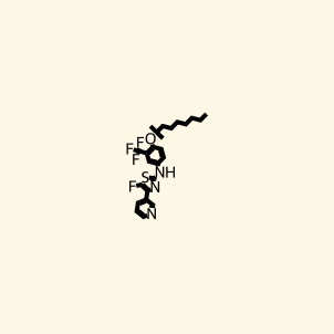 CCCCCCCC(C)(C)Oc1ccc(Nc2nc(-c3cccnc3)c(F)s2)cc1C(F)(F)F